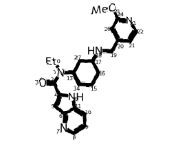 CCN(C(=O)c1cc2ncccc2[nH]1)C1CCCC(NCc2ccnc(OC)c2)C1